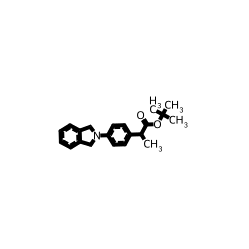 CC(C(=O)OC(C)(C)C)c1ccc(N2Cc3ccccc3C2)cc1